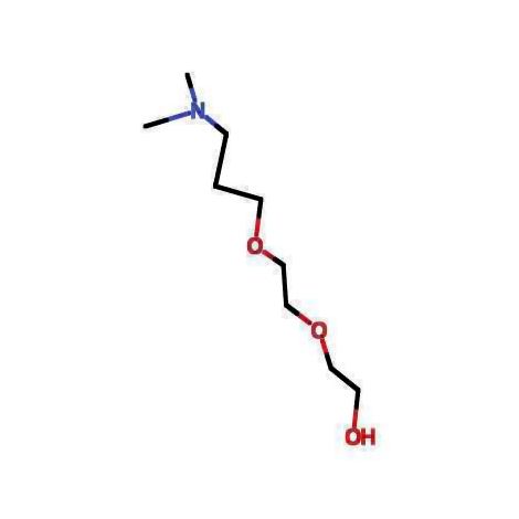 CN(C)CCCOCCOCCO